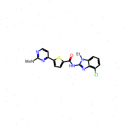 CCn1c(NC(=O)c2ccc(-c3ccnc(NC)n3)s2)nc2c(Cl)cccc21